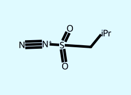 CC(C)CS(=O)(=O)[N+]#N